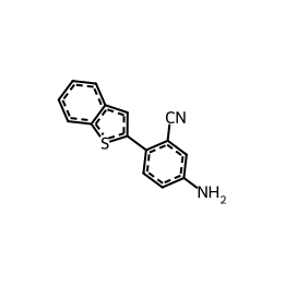 N#Cc1cc(N)ccc1-c1cc2ccccc2s1